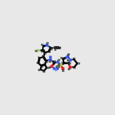 COc1cc(-c2ccc3c(c2NC(=O)N=S(N)(=O)c2cnn4c2OCCC4)CCC3)c(F)cn1